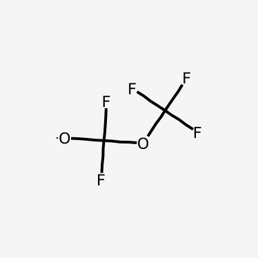 [O]C(F)(F)OC(F)(F)F